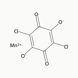 O=C1C([O-])=C(Cl)C(=O)C([O-])=C1Cl.[Mn+2]